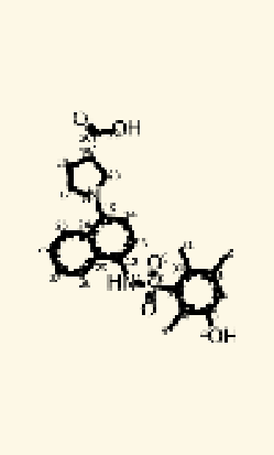 Cc1cc(O)c(C)c(S(=O)(=O)Nc2ccc(N3CC[C@H](C(=O)O)C3)c3ccccc23)c1C